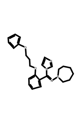 c1ccc(OCCCOc2ccccc2C(=NN2CCCCCC2)n2ccnc2)cc1